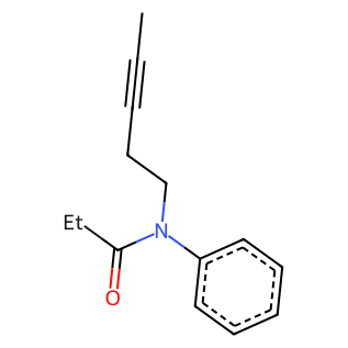 CC#CCCN(C(=O)CC)c1ccccc1